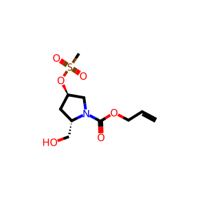 C=CCOC(=O)N1C[C@H](OS(C)(=O)=O)C[C@H]1CO